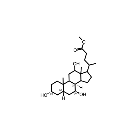 COC(=O)CCC(C)C1CCC2[C@@H]3C(CC(O)C12C)C1(C)CC[C@@H](O)C[C@H]1C[C@@H]3O